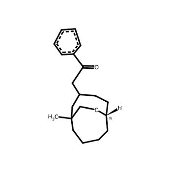 CC12CCCC[C@@H](CCC(CC(=O)c3ccccc3)C1)CC2